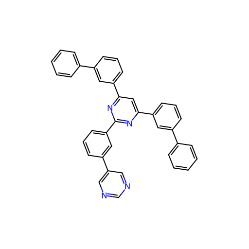 c1ccc(-c2cccc(-c3cc(-c4cccc(-c5ccccc5)c4)nc(-c4cccc(-c5cncnc5)c4)n3)c2)cc1